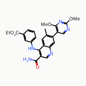 CCOC(=O)c1cccc(Nc2c(C(N)=O)cnc3cc(-c4cnc(OC)nc4OC)c(C)cc23)c1